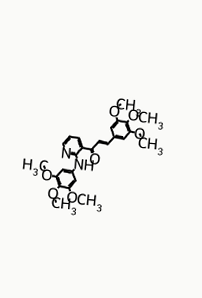 COc1cc(C=CC(=O)c2cccnc2Nc2cc(OC)c(OC)c(OC)c2)cc(OC)c1OC